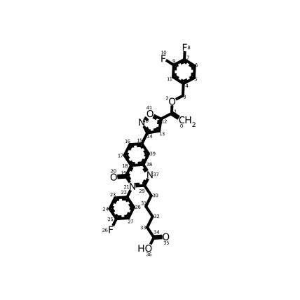 C=C(OCc1ccc(F)c(F)c1)c1cc(-c2ccc3c(=O)n(-c4ccc(F)cc4)c(CCCCC(=O)O)nc3c2)no1